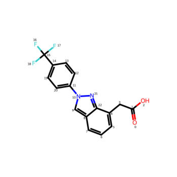 O=C(O)Cc1cccc2cn(-c3ccc(C(F)(F)F)cc3)nc12